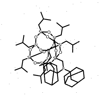 CC(C)C[Si]12O[Si]3(CC(C)C)O[Si]4(CC(C)C)O[Si](CC(C)C)(O1)O[Si]1(CC(C)C)O[Si](CC(C)C)(O2)O[Si](CC(C)C)(O3)O[Si](CP(C23CC5CC(CC(C5)C2)C3)C23CC5CC(CC(C5)C2)C3)(O4)O1